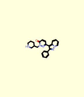 O=c1ccc(-c2c(-c3ccccc3)nn3ccccc23)nn1CC1CCCNC1